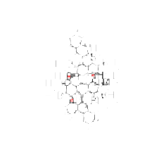 Bc1c(B)c(B)c2c(-c3c4c(B)c(B)c(B)c(B)c4c(-c4cc5ccccc5c5ccccc45)c4c(B)c(B)c(B)c(B)c34)c(B)c(B)c(-c3ccc4ccccc4c3)c2c1B